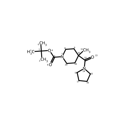 CC(C)(C)OC(=O)N1CCC(C)(C(=O)N2CCCC2)CC1